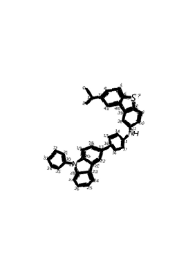 CC(C)c1ccc2sc3ccc(Nc4ccc(-c5ccc6c(c5)c5ccccc5n6-c5ccccc5)cc4)cc3c2c1